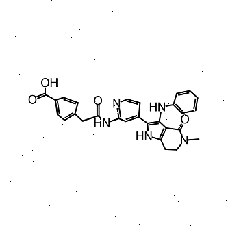 CN1CCc2[nH]c(-c3ccnc(NC(=O)Cc4ccc(C(=O)O)cc4)c3)c(Nc3ccccc3)c2C1=O